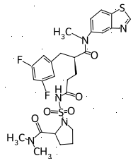 CN(C)C(=O)C1CCCN1S(=O)(=O)NC(=O)CC[C@@H](Cc1cc(F)cc(F)c1)C(=O)N(C)c1ccc2scnc2c1